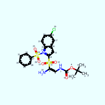 CC(C)(C)OC(=O)N/C=C(/N)S(=O)(=O)c1cc2cc(Cl)ccc2n1S(=O)(=O)c1ccccc1